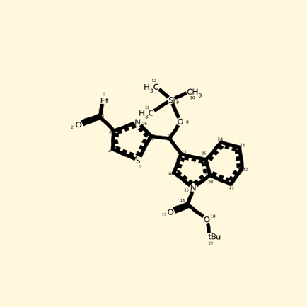 CCC(=O)c1csc(C(O[Si](C)(C)C)c2cn(C(=O)OC(C)(C)C)c3ccccc23)n1